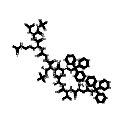 CC(=O)NCSC[C@H](NC(=O)CNC(=O)[C@@H](NC(=O)[C@H](CSC(c1ccccc1)(c1ccccc1)c1ccccc1)NC(=O)[C@H](C)NC(=O)[C@@H](NC(=O)[C@@H](N)CC(=O)NC(c1ccccc1)(c1ccccc1)c1ccccc1)C(C)C)[C@@H](C)OC(C)(C)C)C(=O)N[C@@H](CC(C)C)C(=O)OC(C)(C)C